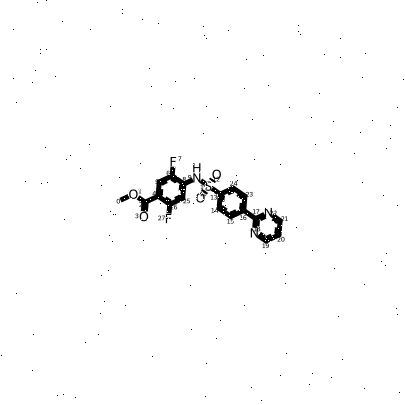 COC(=O)c1cc(F)c(NS(=O)(=O)c2ccc(-c3ncccn3)cc2)cc1F